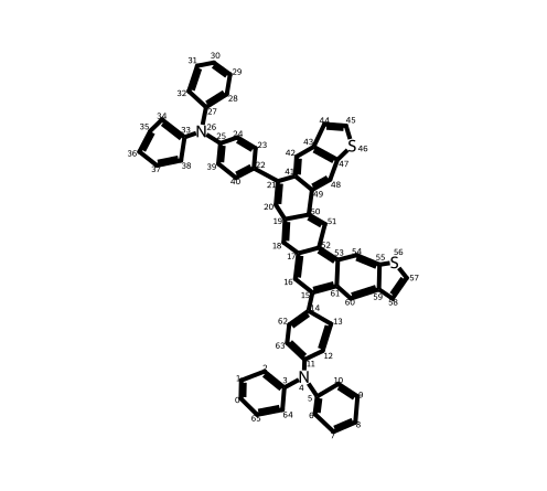 c1ccc(N(c2ccccc2)c2ccc(-c3cc4cc5cc(-c6ccc(N(c7ccccc7)c7ccccc7)cc6)c6cc7ccsc7cc6c5cc4c4cc5sccc5cc34)cc2)cc1